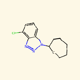 Clc1cccc2c1nnn2C1CCCCCC1